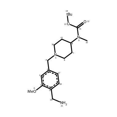 COc1cc(CN2CCC(N(C)C(=O)OC(C)(C)C)CC2)ccc1CN